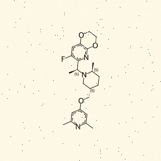 Cc1cc(OC[C@H]2CC[C@H](C)N([C@@H](C)c3nc4c(cc3F)OCCO4)C2)cc(C)n1